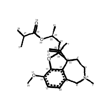 C=C(C)[C@@]12CCN(C)Cc3ccc(OC)c(c31)O[C@H]2C[C@H](C)OC(=O)C(C)C